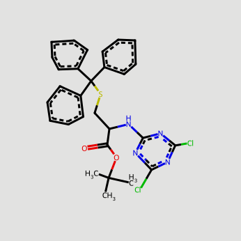 CC(C)(C)OC(=O)C(CSC(c1ccccc1)(c1ccccc1)c1ccccc1)Nc1nc(Cl)nc(Cl)n1